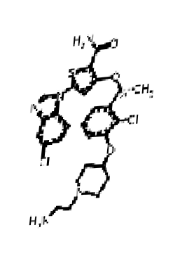 C[C@@H](Oc1cc(-n2cnc3cc(Cl)ccc32)sc1C(N)=O)c1cccc(OC2CCN(CCN)CC2)c1Cl